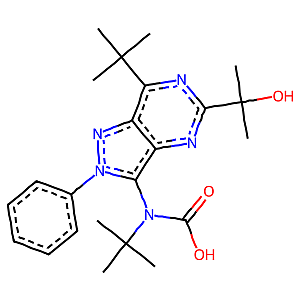 CC(C)(C)c1nc(C(C)(C)O)nc2c(N(C(=O)O)C(C)(C)C)n(-c3ccccc3)nc12